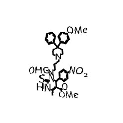 COC(=O)C1=C(C)NC(=S)N(N(C=O)CCCN2CCC(c3ccccc3)(c3ccc(OC)cc3)CC2)C1c1ccc([N+](=O)[O-])cc1